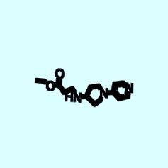 CCOC(=O)CCNC1CCN(c2ccncc2)CC1